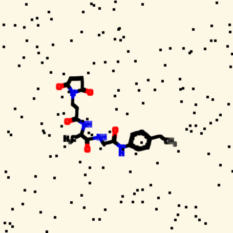 CCc1ccc(NC(=O)CNC(=O)C(C)NC(=O)CCN2C(=O)C=CC2=O)cc1